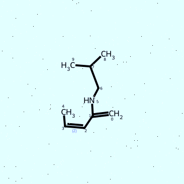 C=C(/C=C\C)NCC(C)C